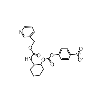 O=C(NC1CCCCC1OC(=O)Oc1ccc([N+](=O)[O-])cc1)OCc1cccnc1